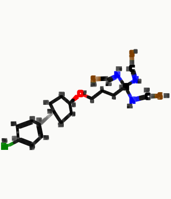 S=C=N[Si](CCCO[C@H]1CC[C@H](c2ccc(Br)cc2)CC1)(N=C=S)N=C=S